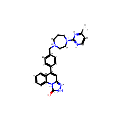 O=c1[nH]nc2cc(-c3ccc(CN4CCCN(c5nccc(C(F)(F)F)n5)CC4)cc3)c3ccccc3n12